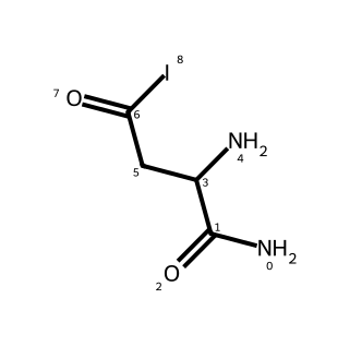 NC(=O)C(N)CC(=O)I